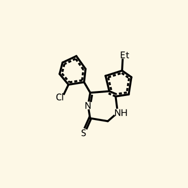 CCc1ccc2c(c1)C(c1ccccc1Cl)=NC(=S)CN2